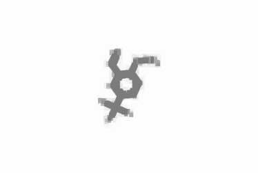 COc1ccc(C(F)(F)F)cc1C=O